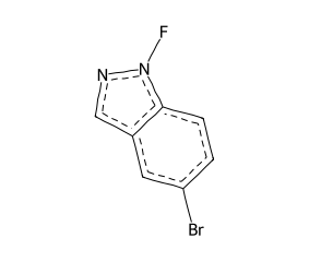 Fn1ncc2cc(Br)ccc21